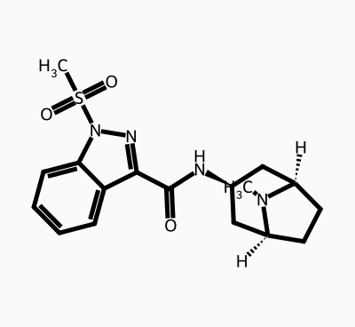 CN1[C@@H]2CC[C@H]1C[C@@H](NC(=O)c1nn(S(C)(=O)=O)c3ccccc13)C2